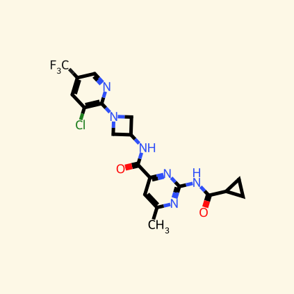 Cc1cc(C(=O)NC2CN(c3ncc(C(F)(F)F)cc3Cl)C2)nc(NC(=O)C2CC2)n1